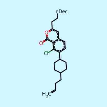 C=CCCC1CCC(c2ccc3cc(CCCCCCCCCCCC)oc(=O)c3c2Cl)CC1